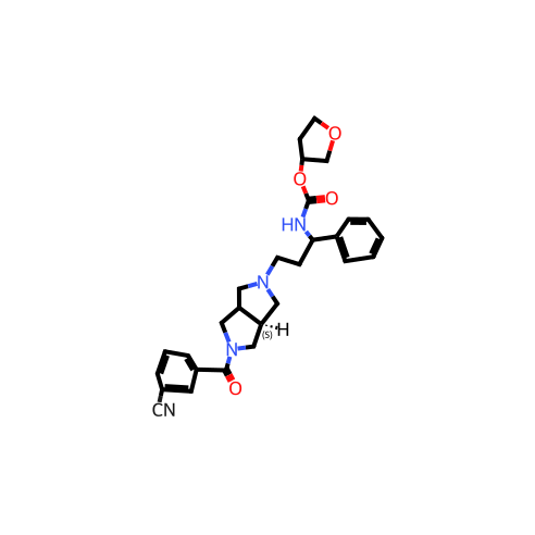 N#Cc1cccc(C(=O)N2CC3CN(CCC(NC(=O)OC4CCOC4)c4ccccc4)C[C@H]3C2)c1